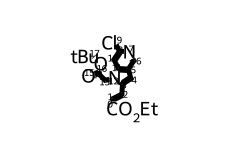 CCOC(=O)C=Cc1cc2cnc(Cl)cc2n1CC(=O)OC(C)(C)C